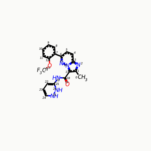 Cc1nc2ccc(-c3ccccc3OC(F)(F)F)nn2c1C(=O)NC1=CC=CNN1